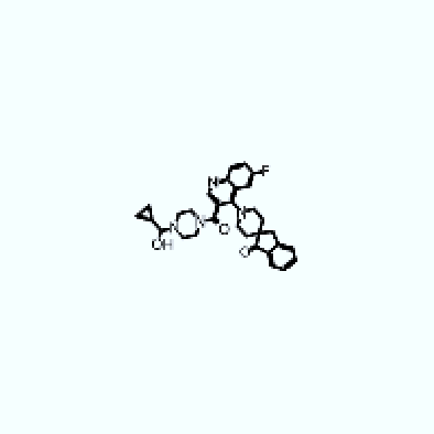 O=C(c1cnc2ccc(F)cc2c1N1CCC2(CC1)Cc1ccccc1C2=O)N1CCN(C(O)C2CC2)CC1